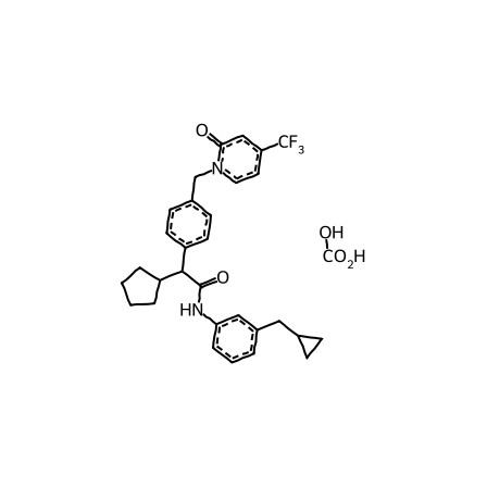 O=C(Nc1cccc(CC2CC2)c1)C(c1ccc(Cn2ccc(C(F)(F)F)cc2=O)cc1)C1CCCC1.O=C(O)O